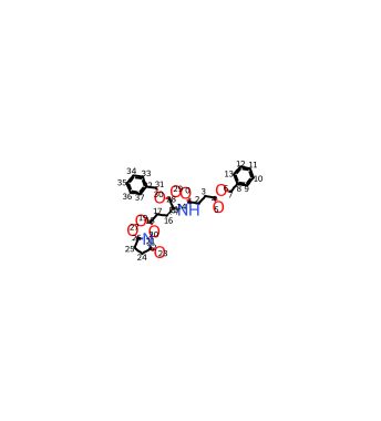 O=C(CCC(=O)OCc1ccccc1)N[C@@H](CCC(=O)ON1C(=O)CCC1=O)C(=O)OCc1ccccc1